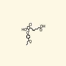 CCCC(OC)c1ccc(OCC2C(O)CC(Cl)C2C/C=C\CCCC(=O)O)cc1